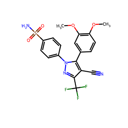 COc1ccc(-c2c(C#N)c(C(F)(F)F)nn2-c2ccc(S(N)(=O)=O)cc2)cc1OC